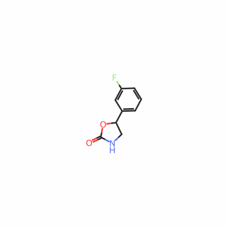 O=C1NCC(c2cccc(F)c2)O1